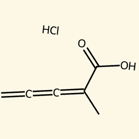 C=C=C=C(C)C(=O)O.Cl